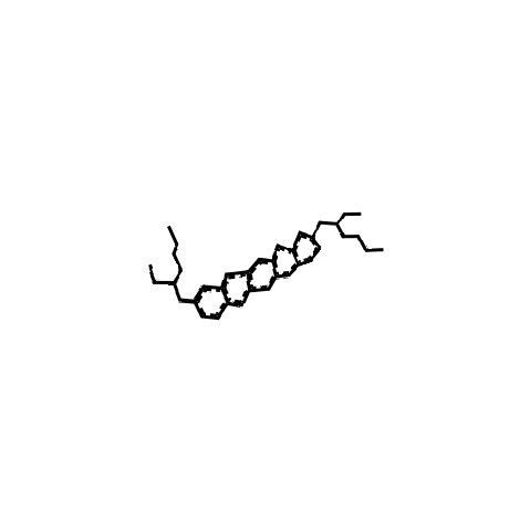 CCCCC(CC)Cc1ccc2cc3cc4cc5ccc(CC(CC)CCCC)cc5cc4cc3cc2c1